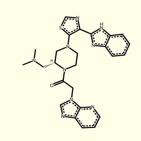 CN(C)C[C@@H]1CN(c2scnc2-c2nc3ccccc3[nH]2)CCN1C(=O)Cn1cnc2cccnc21